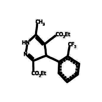 CCOC(=O)C1=NNC(C)=C(C(=O)OCC)C1c1ccccc1C(F)(F)F